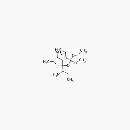 CCOC(CCN)(O[Si](OC)(OCC)OCC)C(N)CC